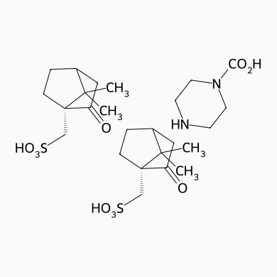 CC1(C)C2CC[C@]1(CS(=O)(=O)O)C(=O)C2.CC1(C)C2CC[C@]1(CS(=O)(=O)O)C(=O)C2.O=C(O)N1CCNCC1